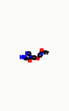 CC(C)C(=O)N1CCC(Oc2ccc(N(C(=O)[C@H]3CCNC3)c3cccnc3)cc2)CC1